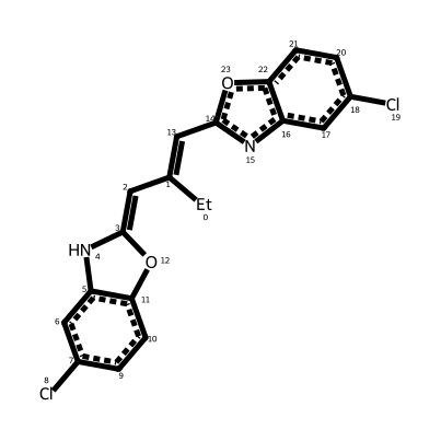 CCC(/C=C1/Nc2cc(Cl)ccc2O1)=C\c1nc2cc(Cl)ccc2o1